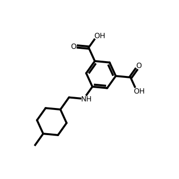 CC1CCC(CNc2cc(C(=O)O)cc(C(=O)O)c2)CC1